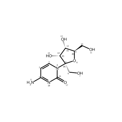 Nc1ccn([C@]2(CO)O[C@H](CO)[C@@H](O)[C@H]2O)c(=O)n1